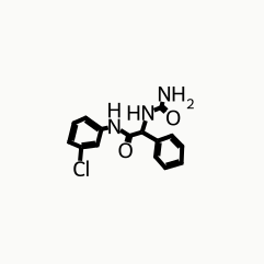 NC(=O)NC(C(=O)Nc1cccc(Cl)c1)c1ccccc1